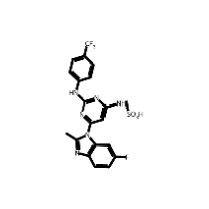 CS(=O)(=O)O.Cc1nc2ccc(F)cc2n1-c1cc(N)nc(Nc2ccc(C(F)(F)F)cc2)n1